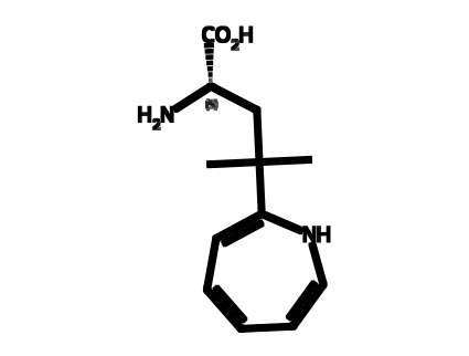 CC(C)(C[C@H](N)C(=O)O)C1=CC=CC=CN1